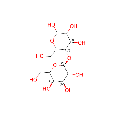 OCC1OC(O)C(O)[C@@H](O)[C@@H]1O[C@@H]1OC(CO)[C@H](O)[C@H](O)C1O